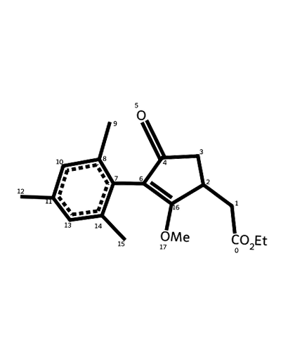 CCOC(=O)CC1CC(=O)C(c2c(C)cc(C)cc2C)=C1OC